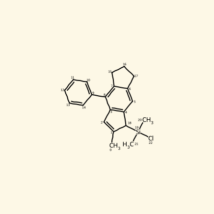 CC1=Cc2c(cc3c(c2-c2ccccc2)CCC3)C1[Si](C)(C)Cl